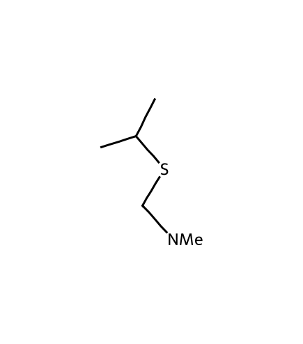 CNCSC(C)C